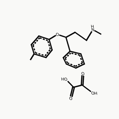 CNCCC(Oc1ccc(C)cc1)c1ccccc1.O=C(O)C(=O)O